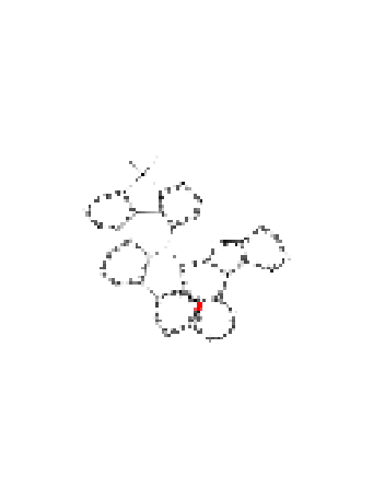 CC1(C)c2ccccc2-c2c(N(c3ccccc3-c3ccccc3)c3cc4ccccc4c4c3oc3ccccc34)cccc21